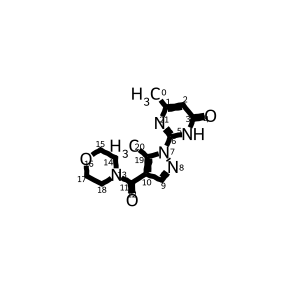 Cc1cc(=O)[nH]c(-n2ncc(C(=O)N3CCOCC3)c2C)n1